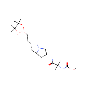 CC(C)C(C)(NC(=O)OC(C)(C)C)C(=O)N[C@H]1CN(C(=O)O)[C@@](CCCCB2OC(C)(C)C(C)(C)O2)(C(=O)O)C1